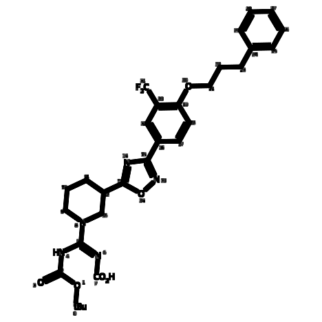 CC(C)(C)OC(=O)NC(=NC(=O)O)N1CCCC(c2nc(-c3ccc(OCCCc4ccccc4)c(C(F)(F)F)c3)no2)C1